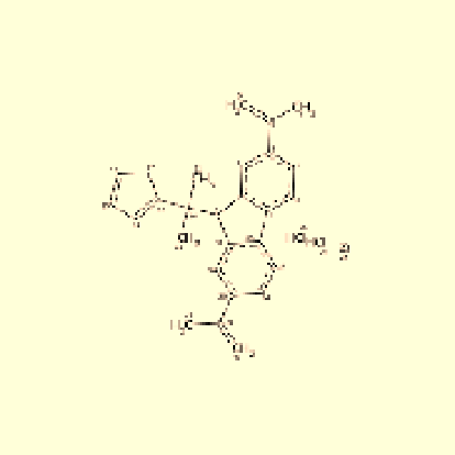 C=C(C)c1ccc2c(c1)C(C(C)(C)C1=CC=CC1)c1cc(C(=C)C)ccc1-2.Cl.Cl.[Zr]